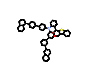 c1cc(-c2cccc(N(c3ccc(-c4ccc(-c5cccc6ccccc56)cc4)cc3)c3ccccc3-c3cccc4c3sc3ccccc34)c2)cc(-c2ccc3ccccc3c2)c1